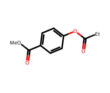 CCC(=O)Oc1ccc(C(=O)OC)cc1